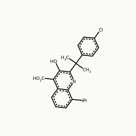 CC(C)c1cccc2c(C(=O)O)c(O)c(C(C)(C)c3ccc(Cl)cc3)nc12